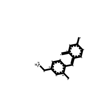 C=c1cc(C)cc/c1=C/c1ccc(CP)cc1C